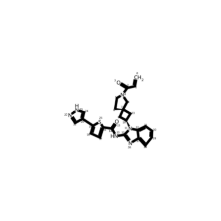 C=CC(=O)N1CC[C@]2(C1)C[C@H](n1c(NC(=O)c3ccc(-c4cn[nH]c4)s3)nc3ccccc31)C2